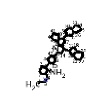 C=C/C=C\c1cccc(-c2ccc(-c3cc(-c4ccc5ccccc5c4)c4cc(-c5ccc6ccccc6c5)c5ccccc5c4n3)cc2)c1N